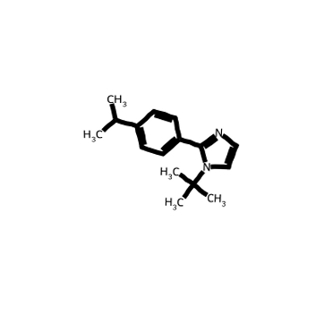 CC(C)c1ccc(-c2nccn2C(C)(C)C)cc1